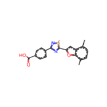 Cc1ccc(C)c2oc(-c3nc(-c4ccc(C(=O)O)cc4)ns3)cc12